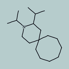 CC(C)C1CC2(CCCCCCC2)CCN1C(C)C